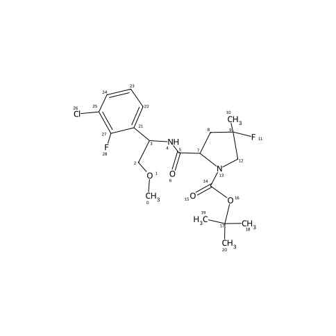 COCC(NC(=O)C1CC(C)(F)CN1C(=O)OC(C)(C)C)c1cccc(Cl)c1F